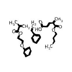 C=C(C)C(=O)OCCOc1ccccc1.C=C(C=CC(=O)O)C(=O)OCCCC.C=Cc1ccccc1